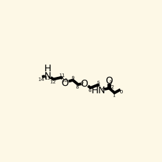 CCC(=O)NCCOCCOCCNC